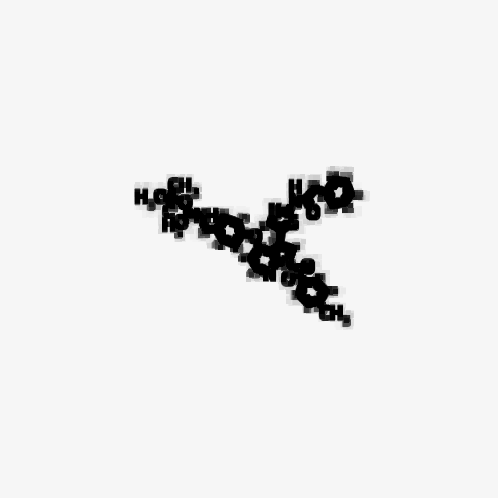 Cc1ccc(S(=O)(=O)n2cc(-c3cnc(NC(=O)Cc4ccccc4)s3)c3c(Oc4ccc(CNC(=O)OC(C)(C)C)cc4)ccnc32)cc1